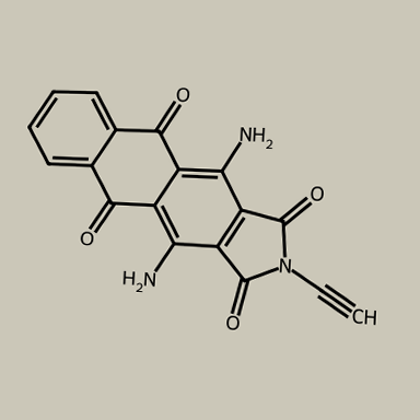 C#Cn1c(=O)c2c(N)c3c(=O)c4ccccc4c(=O)c3c(N)c2c1=O